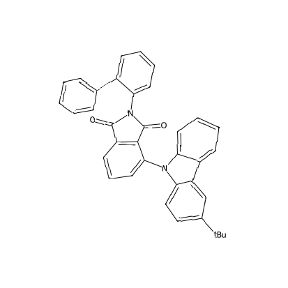 CC(C)(C)c1ccc2c(c1)c1ccccc1n2-c1cccc2c1C(=O)N(c1ccccc1-c1ccccc1)C2=O